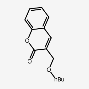 CCCCOCc1cc2ccccc2oc1=O